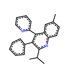 Cc1ccc2nc(C(C)C)c(-c3ccccc3)c(-c3ccccn3)c2c1